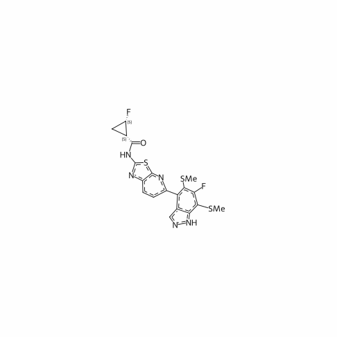 CSc1c(F)c(SC)c2[nH]ncc2c1-c1ccc2nc(NC(=O)[C@@H]3C[C@@H]3F)sc2n1